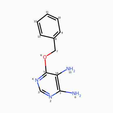 Nc1ncnc(OCc2ccccc2)c1N